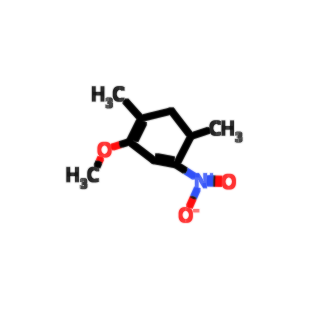 COC1=C(C)CC(C)C([N+](=O)[O-])=C1